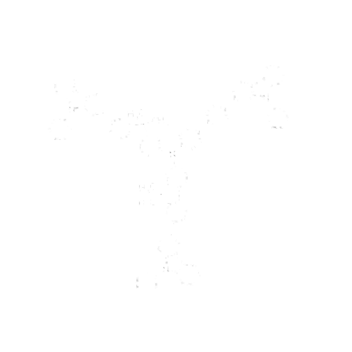 CC1(C)c2cc(-c3ccc4c(c3)c3ccccc3n4-c3ccccc3)ccc2-c2ccc(N(c3ccc(-c4ccc(-c5ccc6c7ccccc7n(-c7ccccc7)c6c5)cc4)cc3)c3ccc4c(c3)C(C)(C)c3cc(-c5ccc6c7ccccc7n(-c7ccccc7)c6c5)ccc3-4)cc21